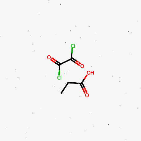 CCC(=O)O.O=C(Cl)C(=O)Cl